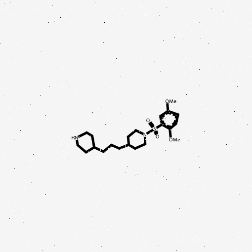 COc1ccc(OC)c(S(=O)(=O)N2CCC(CCCC3CCNCC3)CC2)c1